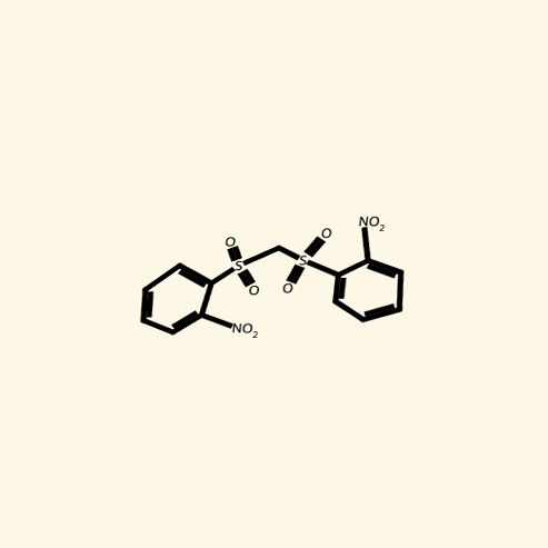 O=[N+]([O-])c1ccccc1S(=O)(=O)CS(=O)(=O)c1ccccc1[N+](=O)[O-]